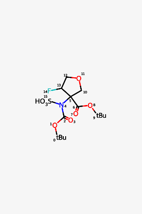 CC(C)(C)OC(=O)N(C1(C(=O)OC(C)(C)C)COCC1F)S(=O)(=O)O